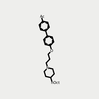 CCCCCCCCC1CCN(CCCOc2ccc(-c3ccc(C(C)=O)cc3)cc2)CC1